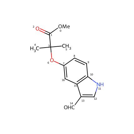 COC(=O)C(C)(C)Oc1ccc2[nH]cc(C=O)c2c1